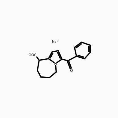 O=C(c1ccccc1)c1ccc2n1CCCCC2C(=O)[O-].[Na+]